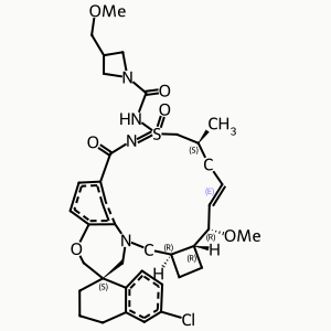 COCC1CN(C(=O)NS2(=O)=NC(=O)c3ccc4c(c3)N(C[C@@H]3CC[C@H]3[C@@H](OC)/C=C/C[C@H](C)C2)C[C@@]2(CCCc3cc(Cl)ccc32)CO4)C1